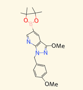 COc1ccc(Cn2nc(OC)c3cc(B4OC(C)(C)C(C)(C)O4)cnc32)cc1